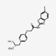 CO[C@@H](Cc1ccc(OCC(=O)Nc2nc3ccc(F)cc3s2)cc1)C(=O)O